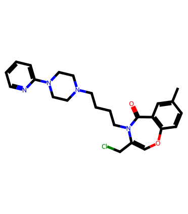 Cc1ccc2c(c1)C(=O)N(CCCCN1CCN(c3ccccn3)CC1)C(CCl)=CO2